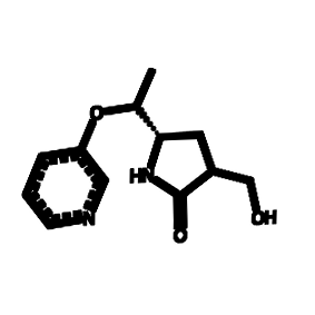 CC(Oc1cccnc1)[C@@H]1CC(CO)C(=O)N1